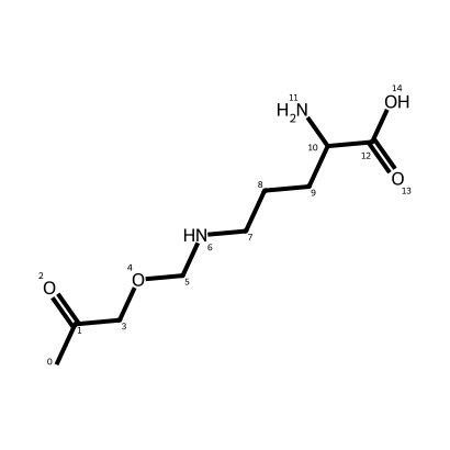 CC(=O)COCNCCCC(N)C(=O)O